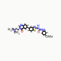 COc1ccc(NC(=O)Nc2nc3cc(-c4ccc5ncn(CCN(C)C)c(=O)c5c4)ccc3s2)cc1